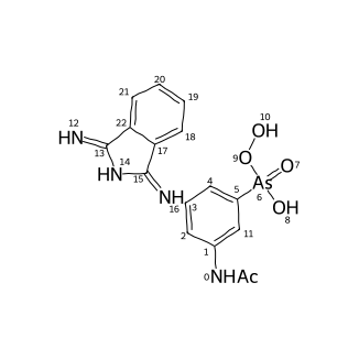 CC(=O)Nc1cccc([As](=O)(O)OO)c1.N=C1NC(=N)c2ccccc21